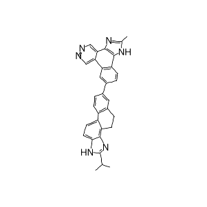 Cc1nc2c3cnncc3c3cc(-c4ccc5c(c4)CCc4c-5ccc5[nH]c(C(C)C)nc45)ccc3c2[nH]1